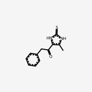 Cc1[nH]c(=S)[nH]c1C(=O)Cc1ccccc1